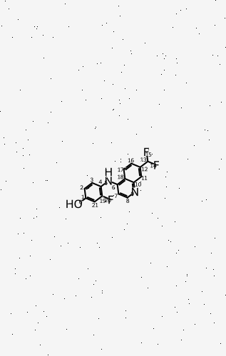 Oc1ccc(Nc2ccnc3cc(C(F)F)ccc23)c(F)c1